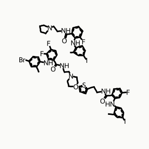 Cc1cc(Br)ccc1Nc1c(C(=O)NCCN2CCOCC2)ccc(F)c1F.Cc1cc(I)ccc1Nc1c(F)cccc1C(=O)NCCN1CCCC1.Cc1cc(I)ccc1Nc1cc(F)ccc1C(=O)NCCc1cccs1